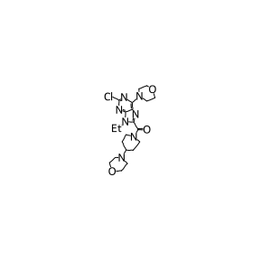 CCn1c(C(=O)N2CCC(N3CCOCC3)CC2)nc2c(N3CCOCC3)nc(Cl)nc21